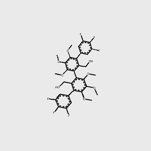 COc1c(OC)c(-c2cc(F)c(F)c(F)c2)c(CO)c(-c2c(CO)c(-c3cc(F)c(F)c(F)c3)c(OC)c(OC)c2OC)c1OC